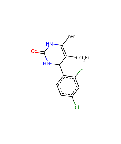 CCCC1=C(C(=O)OCC)C(c2ccc(Cl)cc2Cl)NC(=O)N1